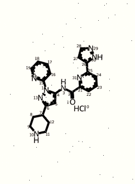 Cl.O=C(Nc1cc(C2CCNCC2)nn1-c1ccccn1)c1cccc(-c2ccn[nH]2)n1